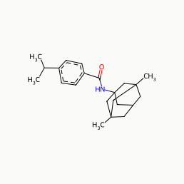 CC(C)c1ccc(C(=O)NC23CC4CC(C)(CC(C)(C4)C2)C3)cc1